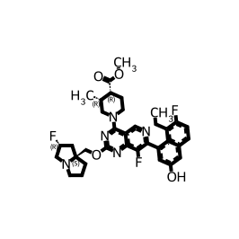 CCc1c(F)ccc2cc(O)cc(-c3ncc4c(N5CC[C@@H](C(=O)OC)[C@@H](C)C5)nc(OC[C@@]56CCCN5C[C@H](F)C6)nc4c3F)c12